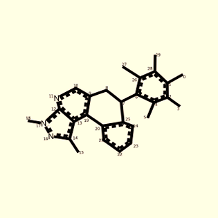 Cc1c(C)c(C)c(C2Cc3cnc4c(c(C)nn4C)c3-c3ccccc32)c(C)c1C